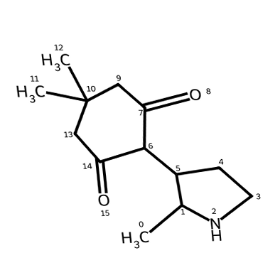 CC1NCCC1C1C(=O)CC(C)(C)CC1=O